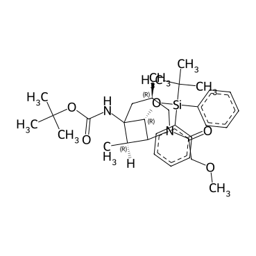 COCC(=O)N1C[C@H](C)CC2(NC(=O)OC(C)(C)C)[C@H](C)C1[C@H]2O[Si](c1ccccc1)(c1ccccc1)C(C)(C)C